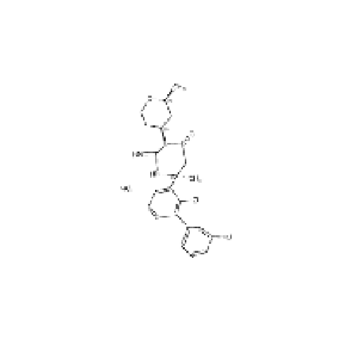 C[C@H]1C[C@@H](N2C(=N)N[C@](C)(c3cccc(-c4cncc(Cl)c4)c3Cl)CC2=O)CCO1.Cl